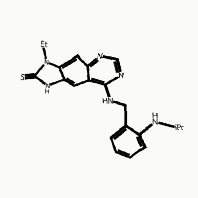 CCn1c(=S)[nH]c2cc3c(NCc4ccccc4NC(C)C)ncnc3cc21